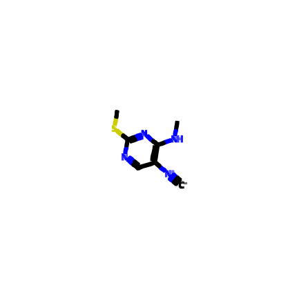 [C-]#[N+]c1cnc(SC)nc1NC